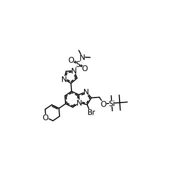 CN(C)S(=O)(=O)n1cnc(-c2cc(C3=CCOCC3)cn3c(Br)c(CO[Si](C)(C)C(C)(C)C)nc23)c1